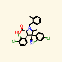 Cc1ccccc1CN1C(C)[C@](C#N)(c2ccc(Cl)cc2F)[C@@H](c2cccc(Cl)c2F)[C@@H]1C(=O)O